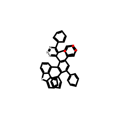 c1ccc(-c2cc(-c3ccccc3)c(-c3nnnc(-c4ccccc4)c3-c3ccccc3)c(-c3cccc4sc5ccccc5c34)c2-c2ccccc2)cc1